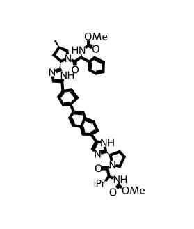 COC(=O)NC(C(=O)N1CCC[C@H]1c1ncc(-c2ccc3cc(-c4ccc(-c5cnc([C@@H]6C[C@@H](C)CN6C(=O)[C@H](NC(=O)OC)c6ccccc6)[nH]5)cc4)ccc3c2)[nH]1)C(C)C